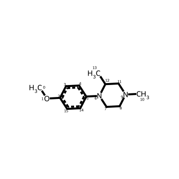 COc1ccc(N2CCN(C)CC2C)cc1